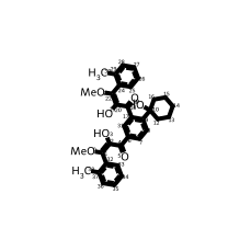 COC(=C(O)C(=O)c1ccc(C2(O)CCCCC2)c(C(=O)C(O)=C(OC)c2ccccc2C)c1)c1ccccc1C